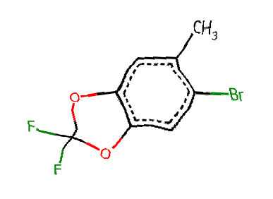 Cc1cc2c(cc1Br)OC(F)(F)O2